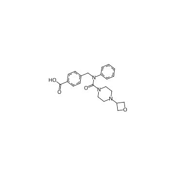 O=C(O)c1ccc(CN(C(=O)N2CCN(C3COC3)CC2)c2ccccc2)cc1